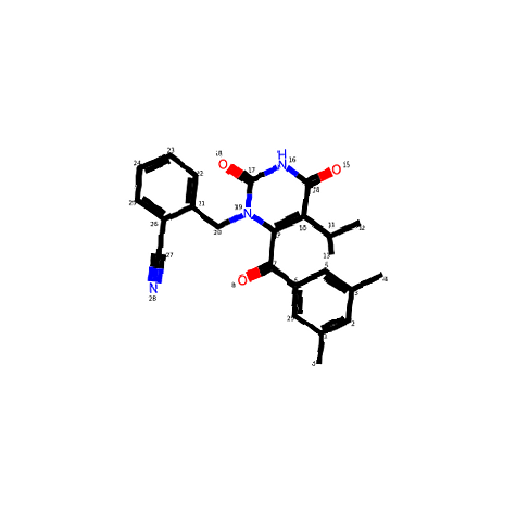 Cc1cc(C)cc(C(=O)c2c(C(C)C)c(=O)[nH]c(=O)n2Cc2ccccc2C#N)c1